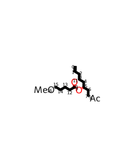 C=CCCCC(CCC(C)=O)OC(=O)CCCCOC